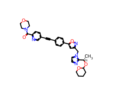 C[C@H](OC1CCCCO1)c1nccn1Cc1cc(-c2ccc(C#Cc3ccc(C(=O)N4CCOCC4)nc3)cc2)on1